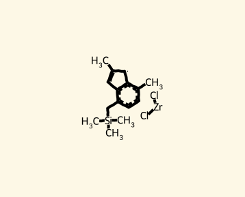 CC1=Cc2c(C[Si](C)(C)C)ccc(C)c2[CH]1.[Cl][Zr][Cl]